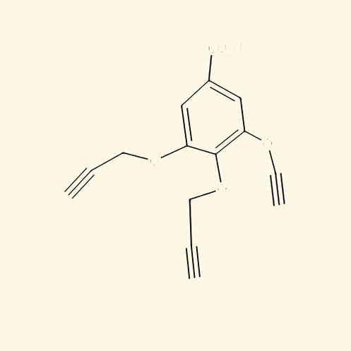 C#CCOc1cc(C(=O)O)cc(OC#C)c1OCC#C